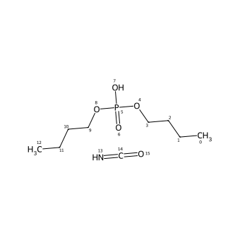 CCCCOP(=O)(O)OCCCC.N=C=O